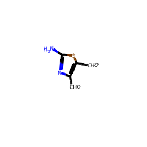 Nc1nc(C=O)c(C=O)s1